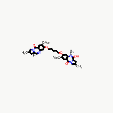 COc1cc2c(cc1OCCCCCOc1cc3c(cc1OC)C(=O)N1C=C(C)CC1C(O)N3C)N=C[C@@H]1CC(C)=CN1C2=O